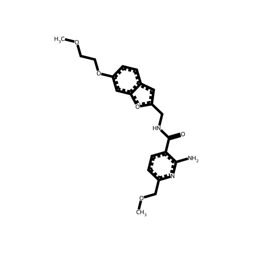 COCCOc1ccc2cc(CNC(=O)c3ccc(COC)nc3N)oc2c1